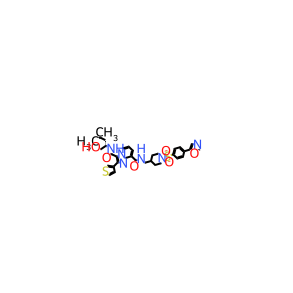 CC(C)C[C@@H](CO)NC(=O)c1c(-c2ccsc2)nc2c(C(=O)NCC3CCN(S(=O)(=O)c4ccc(-c5cnco5)cc4)CC3)cccn12